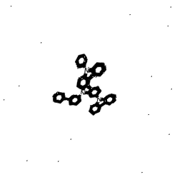 c1ccc(-c2cccc(-n3c4cc(-n5c6ccccc6c6ccccc65)ccc4c4c5c6ccccc6n(-c6ccccc6)c5ccc43)c2)cc1